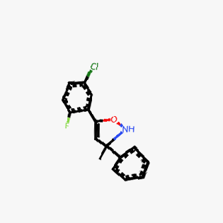 CC1(c2ccccc2)C=C(c2cc(Cl)ccc2F)ON1